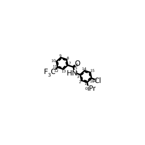 CC(C)c1cc(NC(=O)c2cccc(C(F)(F)F)c2)ccc1Cl